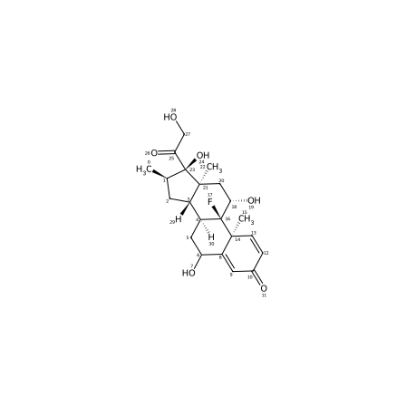 C[C@@H]1C[C@H]2[C@@H]3CC(O)C4=CC(=O)C=C[C@]4(C)[C@@]3(F)[C@@H](O)C[C@]2(C)[C@@]1(O)C(=O)CO